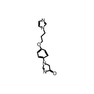 O=C1CN(c2ccc(OCCCn3ccnc3)cc2)C=N1